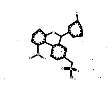 CC[S+]([O-])c1cccc2c1-c1ccc(CS(N)(=O)=O)cc1C(c1cccc(Cl)c1)O2